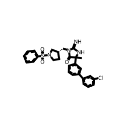 CC1(c2cccc(-c3cccc(Cl)c3)c2)NC(=N)N(C[C@@H]2CCN(S(=O)(=O)c3ccccc3)C2)C1=O